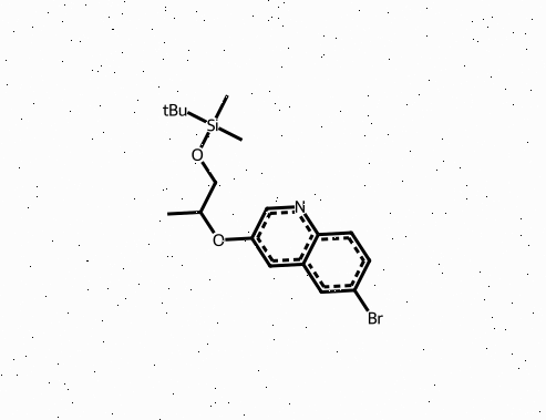 CC(CO[Si](C)(C)C(C)(C)C)Oc1cnc2ccc(Br)cc2c1